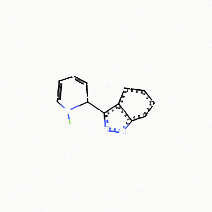 FN1C=CC=CC1c1n[nH]c2ccccc12